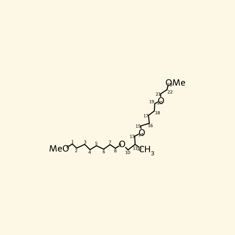 COCCCCCCCCOCC(C)COCCCCCOCCOC